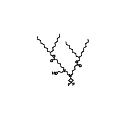 CCCCCCCCC(CCCCCCCC)COC(=O)CCCCCN(CCO)CCN(CCCCC(=O)OCC(CCCCCCCC)CCCCCCCC)C1CC(F)(F)C1